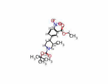 CCOC(=O)c1cc(C2CCN(C(=O)OC(C)(C)C)C[C@@H]2C)ccc1[N+](=O)[O-]